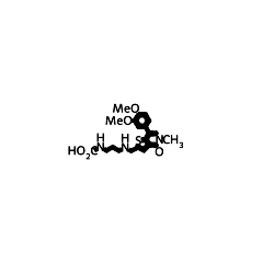 COc1ccc(-c2cn(C)c(=O)c3cc(CNCCCNC(=O)O)sc23)cc1OC